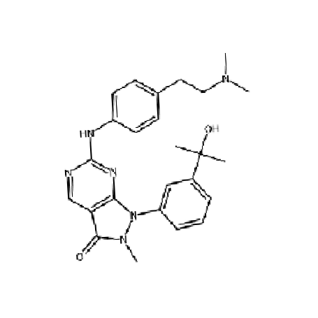 CN(C)CCc1ccc(Nc2ncc3c(=O)n(C)n(-c4cccc(C(C)(C)O)c4)c3n2)cc1